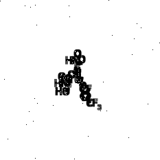 O=C1N[C@@H](CO)CO1.O=C1N[C@@H](COC(=O)N2CC(OCc3ccc(C(F)(F)F)cc3F)C2)CO1